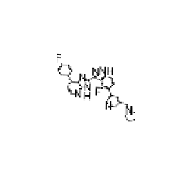 Fc1ccc(-c2ccnc3[nH]c(-c4n[nH]c5ccc(-c6cncc(CN7CCCC7)c6)c(F)c45)nc23)cc1